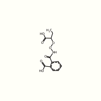 CCC(OONC(=O)c1ccccc1C(=O)O)C(=O)O